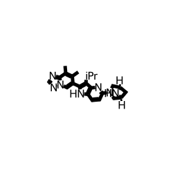 Cc1c(-c2[nH]c3ccc(N4C[C@H]5C[C@@H](C4)N5)nc3c2C(C)C)cn2ncnc2c1C